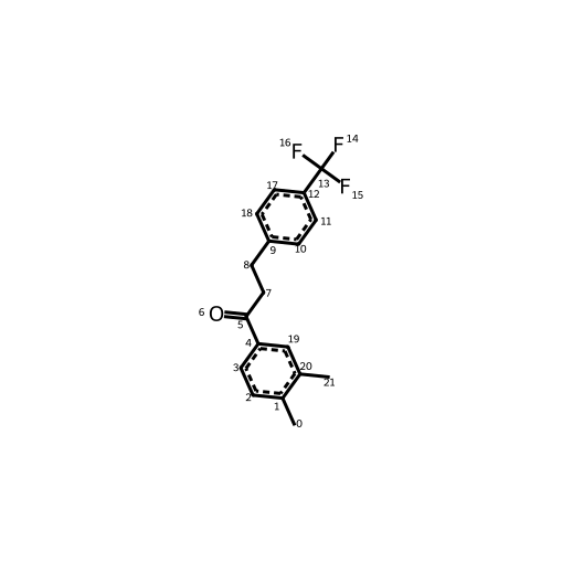 Cc1ccc(C(=O)CCc2ccc(C(F)(F)F)cc2)cc1C